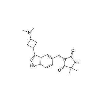 CN(C)C1CC(c2c[nH]c3ccc(CN4C(=O)NC(C)(C)C4=O)cc23)C1